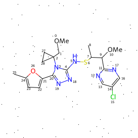 COCC1(n2c(NSC(C)C(OC)c3ncc(Cl)cn3)nnc2-c2ccc(C)o2)CC1